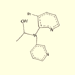 CC(C)c1cccnc1N(c1cccnc1)C(C)O